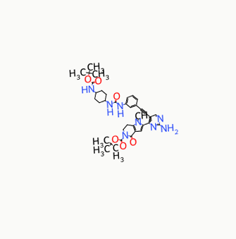 Cn1c(-c2nc(N)ncc2C#Cc2cccc(NC(=O)NC3CCC(NC(=O)OC(C)(C)C)CC3)c2)cc2c1CCN(C(=O)OC(C)(C)C)C2=O